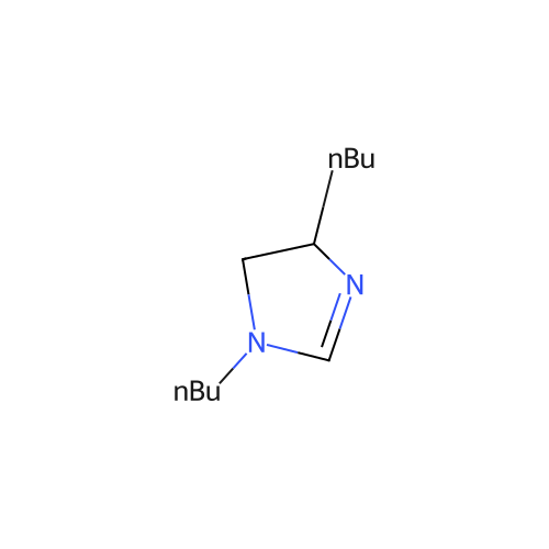 CCCCC1CN(CCCC)C=N1